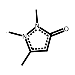 [CH2]n1c(C)cc(=O)n1C